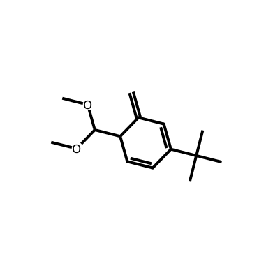 C=C1C=C(C(C)(C)C)C=CC1C(OC)OC